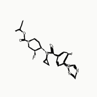 CC(C)OC(=O)N1CC[C@@H](N(C(=O)c2ccc(-n3cncn3)c(F)c2)C2CC2)[C@@H](F)C1